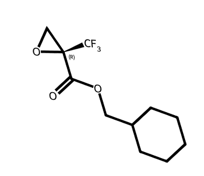 O=C(OCC1CCCCC1)[C@@]1(C(F)(F)F)CO1